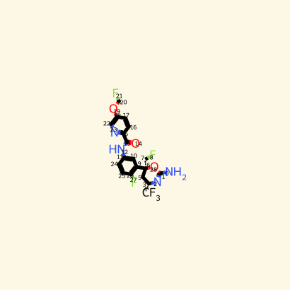 NC1=N[C@H](C(F)(F)F)C[C@@](CF)(c2cc(NC(=O)c3ccc(OCF)cn3)ccc2F)O1